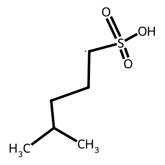 CC(C)CC[CH]S(=O)(=O)O